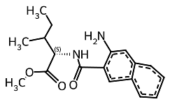 CCC(C)[C@H](NC(=O)c1cc2ccccc2cc1N)C(=O)OC